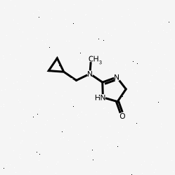 CN(CC1CC1)C1=NCC(=O)N1